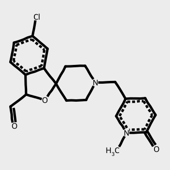 Cn1cc(CN2CCC3(CC2)OC(C=O)c2ccc(Cl)cc23)ccc1=O